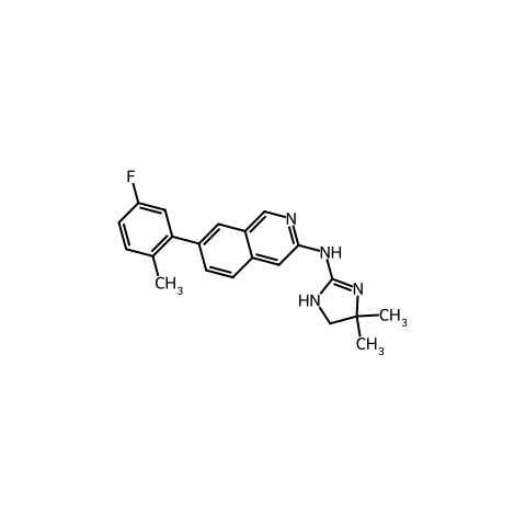 Cc1ccc(F)cc1-c1ccc2cc(NC3=NC(C)(C)CN3)ncc2c1